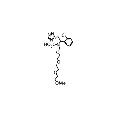 COCCOCCOCCOCN(C(=O)O)C(Cn1ncnn1)c1ccccc1Cl